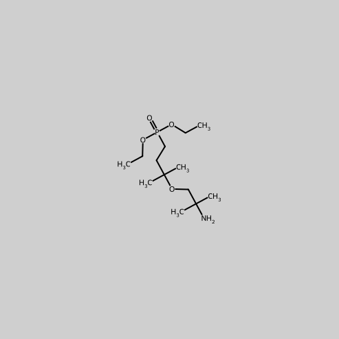 CCOP(=O)(CCC(C)(C)OCC(C)(C)N)OCC